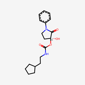 O=C(NCCC1CCCC1)O[C@@]1(O)CCN(c2ccccc2)C1=O